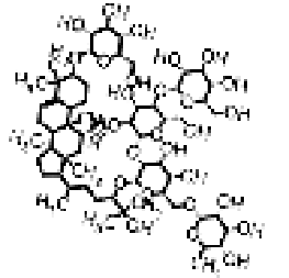 C[C@H](CC[C@@H](O[C@@H]1O[C@H](CO[C@H]2O[C@H](C)[C@@H](O)[C@H](O)[C@H]2O)[C@@H](O)[C@H](O)[C@H]1O[C@H]1O[C@@H](CO)[C@H](O[C@H]2O[C@H](CO)[C@@H](O)[C@H](O)[C@H]2O)[C@@H](O)[C@@H]1O)C(C)(C)O)C1CC[C@@]2(C)C3CC=C4C(CC[C@H](O[C@@H]5O[C@H](CO)[C@@H](O)[C@H](O)[C@H]5O)C4(C)C)[C@]3(C)[C@H](O)C[C@]12C